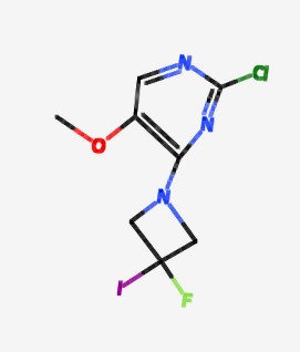 COc1cnc(Cl)nc1N1CC(F)(I)C1